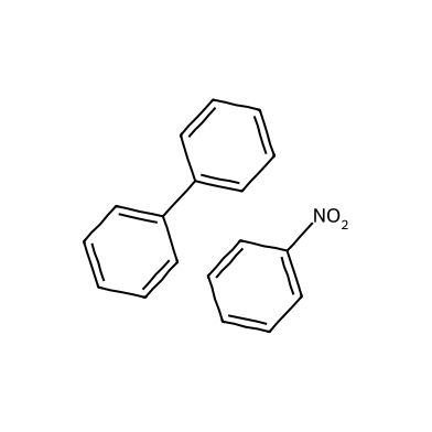 O=[N+]([O-])c1ccccc1.c1ccc(-c2ccccc2)cc1